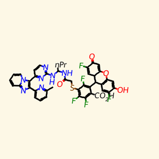 CCCC(NC(=O)CSc1c(F)c(F)c(C(=O)O)c(C2c3cc(F)c(O)cc3OC3=CC(=O)C(F)=CC32)c1F)Nc1nccc(-c2c(-c3cccc(C)n3)nc3ccccn23)n1